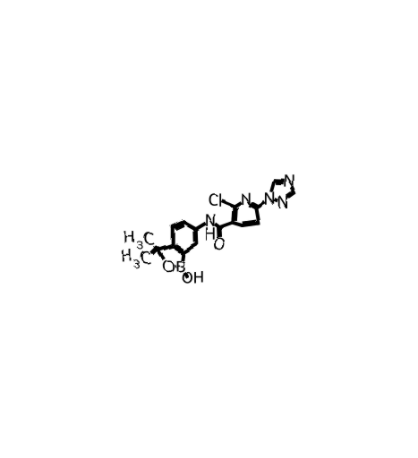 CC1(C)OB(O)c2cc(NC(=O)c3ccc(-n4cncn4)nc3Cl)ccc21